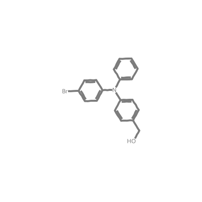 OCc1ccc(N(c2ccccc2)c2ccc(Br)cc2)cc1